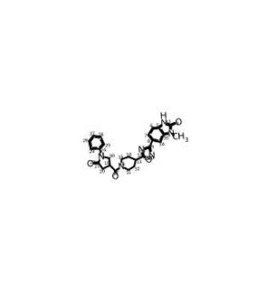 Cn1c(=O)[nH]c2ccc(-c3noc(C4CCN(C(=O)C5CC(=O)N(c6ccccc6)C5)CC4)n3)cc21